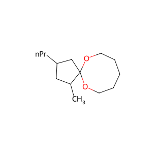 CCCC1CC(C)C2(C1)OCCCCCO2